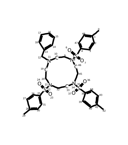 Cc1ccc(S(=O)(=O)N2CCN(Cc3ccccc3)CCN(S(=O)(=O)c3ccc(C)cc3)CCN(S(=O)(=O)c3ccc(C)cc3)CC2)cc1